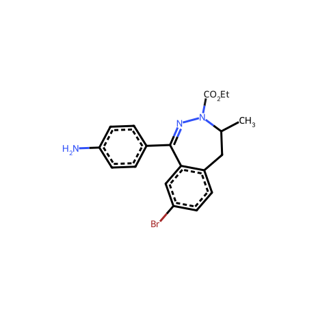 CCOC(=O)N1N=C(c2ccc(N)cc2)c2cc(Br)ccc2CC1C